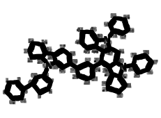 c1ccc(-c2cccc(-n3c4ccccc4c4ccc(-c5cccc(-c6c7c8ccccc8n(-c8ccccc8)c7cc7c6c6ccccc6n7-c6ccccc6)c5)cc43)c2)cc1